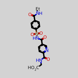 CCNC(=O)c1ccc(S(=O)(=O)NC(=O)c2ccc(C(=O)NCC(=O)O)nc2)cc1